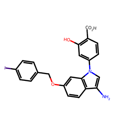 Nc1cn(-c2ccc(C(=O)O)c(O)c2)c2cc(OCc3ccc(I)cc3)ccc12